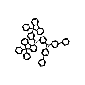 c1ccc(-c2ccc(N(c3ccc(-c4ccccc4)cc3)c3cccc(N(c4cccc(C5(c6ccccc6)c6ccccc6-c6ccccc65)c4)c4cccc5c4-c4ccccc4C5(c4ccccc4)c4ccccc4)c3)cc2)cc1